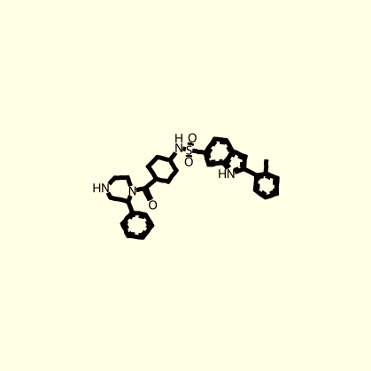 Cc1ccccc1-c1cc2ccc(S(=O)(=O)NC3CCC(C(=O)N4CCNCC4c4ccccc4)CC3)cc2[nH]1